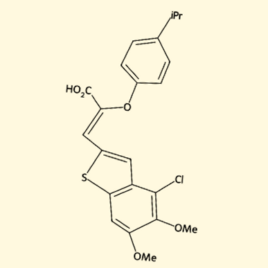 COc1cc2sc(/C=C(\Oc3ccc(C(C)C)cc3)C(=O)O)cc2c(Cl)c1OC